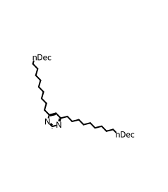 CCCCCCCCCCCCCCCCCCCc1cc(CCCCCCCCCCCCCCCCCCC)n[c]n1